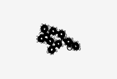 c1ccc(-c2ccc(N(c3cccc(-c4cccc(-c5c(-c6ccccc6)c6ccccc6c6ccccc56)c4)c3)c3ccc4c(c3)oc3ccccc34)cc2)cc1